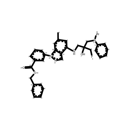 Cc1cc(NCC(O)(CF)CN(c2ccccc2)C(C)C)c2cnn(-c3cccc(C(=O)OCc4ccccc4)c3)c2c1